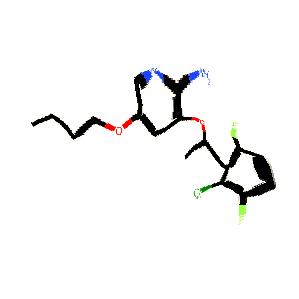 CCCCOc1cnc(N)c(OC(C)c2c(F)ccc(F)c2Cl)c1